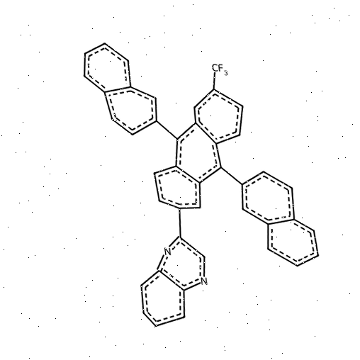 FC(F)(F)c1ccc2c(-c3ccc4ccccc4c3)c3cc(-c4cnc5ccccc5n4)ccc3c(-c3ccc4ccccc4c3)c2c1